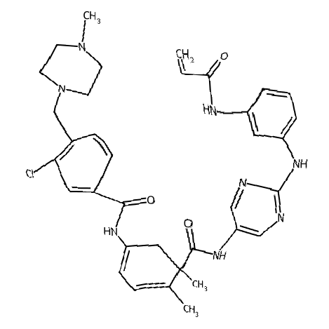 C=CC(=O)Nc1cccc(Nc2ncc(NC(=O)C3(C)CC(NC(=O)c4ccc(CN5CCN(C)CC5)c(Cl)c4)=CC=C3C)cn2)c1